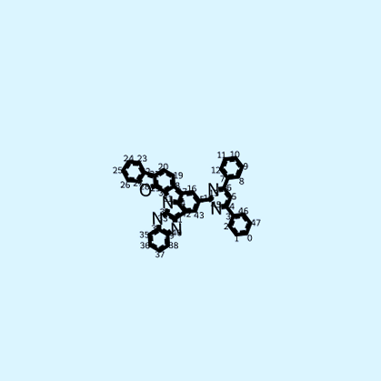 c1ccc(-c2cc(-c3ccccc3)nc(-c3cc4c5ccc6c7ccccc7oc6c5n5c6nc7ccccc7nc6c(c3)c45)n2)cc1